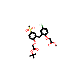 COC(=O)COc1ccc(Cl)cc1Cc1cc(S(C)(=O)=O)ccc1OCC(=O)OC(C)(C)C